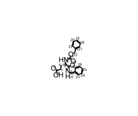 C[C@H](NC(=O)[C@H](CCC(=O)O)NC(=O)OCc1ccccc1)c1ccccc1